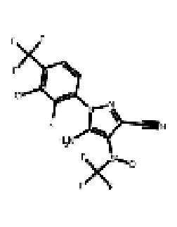 N#Cc1nn(-c2ccc(C(F)(F)F)c(Cl)c2Cl)c(N)c1[S+]([O-])C(F)(F)F